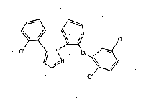 Clc1ccc(Cl)c(Oc2ccccc2-n2nccc2-c2ccccc2Cl)c1